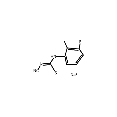 Cc1c(F)cccc1N/C([S-])=N/C#N.[Na+]